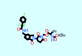 CC(C)C(NC(=O)OC(C)(C)C)C(=O)OCN1C(=O)CCC(N2Cc3cc(CNC(=O)C(F)(F)c4ccc(F)cc4)ccc3C2=O)C1=O